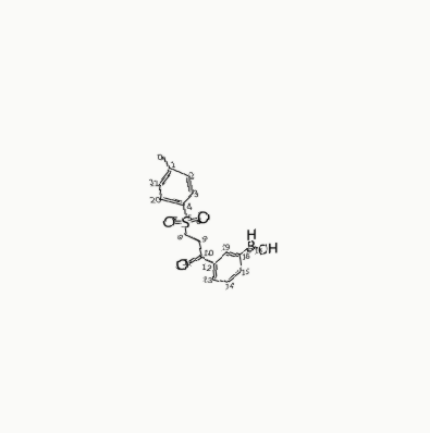 Cc1ccc(S(=O)(=O)CCC(=O)c2cccc(BO)c2)cc1